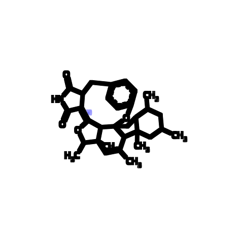 CC1=CC2(C)C(C)O/C3=C4\C(=O)NC(=O)C4Cc4ccc(cc4)OC4(CC5C(C)CC(C)CC5(C)C14)C32